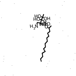 CCCCCCCCCCCCCC(C)OP(=O)(O)OC(O)(C(N)CN)C(C)(O)O